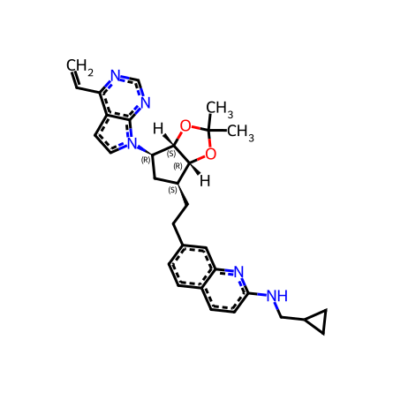 C=Cc1ncnc2c1ccn2[C@@H]1C[C@H](CCc2ccc3ccc(NCC4CC4)nc3c2)[C@H]2OC(C)(C)O[C@H]21